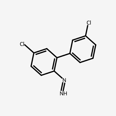 N=Nc1ccc(Cl)cc1-c1cccc(Cl)c1